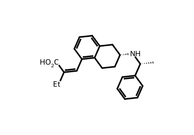 CCC(=Cc1cccc2c1CC[C@@H](N[C@H](C)c1ccccc1)C2)C(=O)O